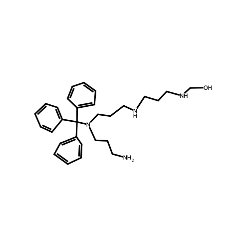 NCCCN(CCCNCCCNCO)C(c1ccccc1)(c1ccccc1)c1ccccc1